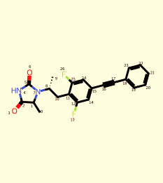 CC1C(=O)NC(=O)N1[C@H](C)Cc1c(F)cc(C#Cc2ccccc2)cc1F